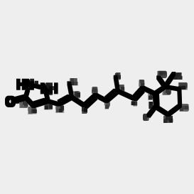 CC1=C(/C=C/C(C)=C/C=C/C(C)=C/c2cc(=O)[nH][nH]2)C(C)(C)CCC1